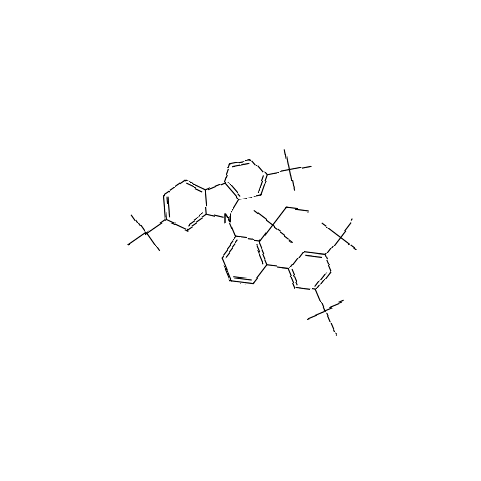 CCC(C)(C)c1c(-c2cc(C(C)(C)C)cc(C(C)(C)C)c2)cccc1-n1c2cc(C(C)(C)C)ccc2c2ccc(C(C)(C)C)cc21